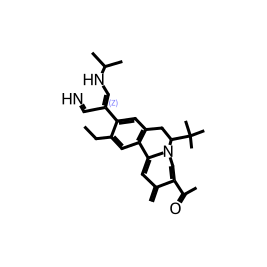 C=C1C=C2c3cc(CC)c(/C(C=N)=C/NC(C)C)cc3CC(C(C)(C)C)N2C=C1C(C)=O